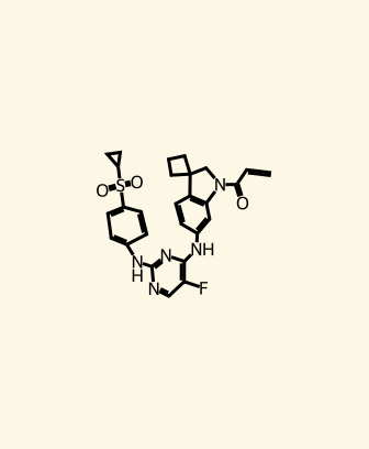 C=CC(=O)N1CC2(CCC2)c2ccc(Nc3nc(Nc4ccc(S(=O)(=O)C5CC5)cc4)ncc3F)cc21